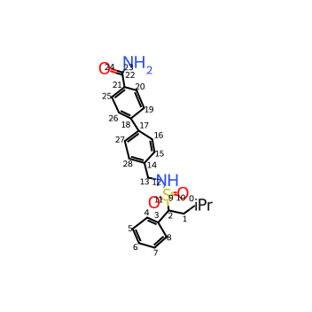 CC(C)CC(c1ccccc1)S(=O)(=O)NCc1ccc(-c2ccc(C(N)=O)cc2)cc1